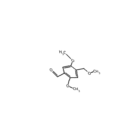 COCc1cc(OC)c(C=O)cc1OC